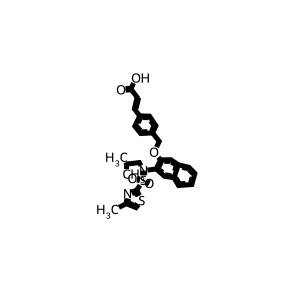 Cc1csc(S(=O)(=O)N(CC(C)C)c2cc3ccccc3cc2OCc2ccc(/C=C/C(=O)O)cc2)n1